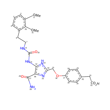 COc1cccc(CCNC(=O)Nc2[nH]c(COc3ccc(CC(=O)O)cc3)nc2C(N)=O)c1OC